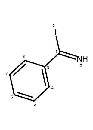 N=C(I)c1ccccc1